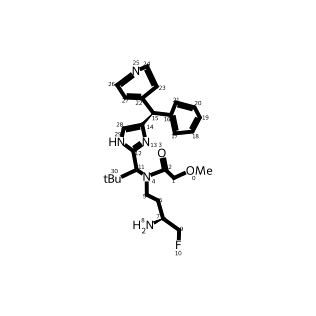 COCC(=O)N(CC[C@H](N)CF)C(c1nc([C@H](c2ccccc2)c2ccncc2)c[nH]1)C(C)(C)C